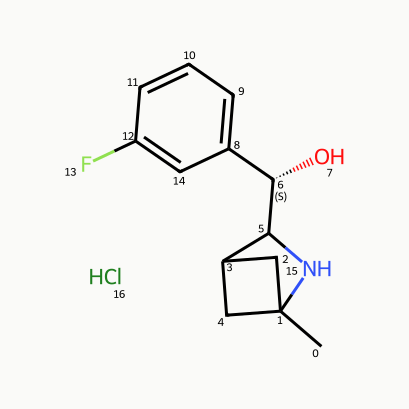 CC12CC(C1)C([C@@H](O)c1cccc(F)c1)N2.Cl